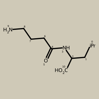 CC(C)CC(NC(=O)CCCN)C(=O)O